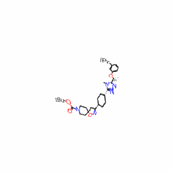 CC(C)c1cccc(O[C@H](C)c2nnc([C@H]3CC[C@H](C4=NOC5(CCN(C(=O)OC(C)(C)C)CC5)C4)CC3)n2C)c1